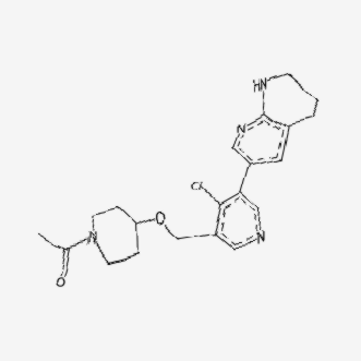 CC(=O)N1CCC(OCc2cncc(-c3cnc4c(c3)CCCN4)c2Cl)CC1